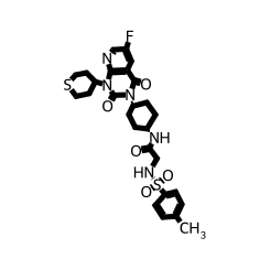 Cc1ccc(S(=O)(=O)NCC(=O)N[C@H]2CC[C@@H](n3c(=O)c4cc(F)cnc4n(C4CCSCC4)c3=O)CC2)cc1